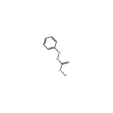 S=C(OCl)OOc1ccccc1